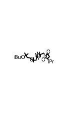 CC(C)COC(C)(C)CCOC(C)(C)Cn1cc(CN2C(=O)CC(C(C)C)C2=O)nn1